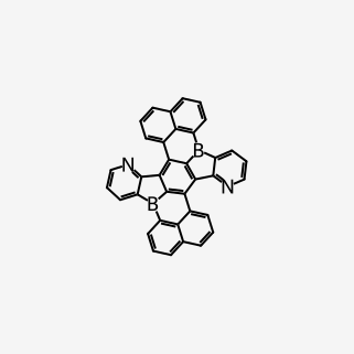 c1cnc2c(c1)B1c3c-2c2c4c(c3-c3cccc5cccc1c35)-c1ncccc1B4c1cccc3cccc-2c13